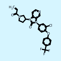 C=CC(=O)N1CCC(n2c(=O)n(-c3ccc(Oc4ccc(C(F)(F)F)cc4)c(Cl)c3)c3cnccc32)C1